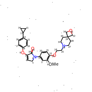 COc1cc(N2CC=C(Oc3ccc(C4CC4)cc3)C2=O)ccc1OCCN1CCC2(CC1)COC2